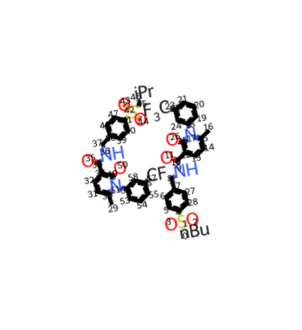 CCCCS(=O)(=O)c1ccc(CNC(=O)c2ccc(C)n(-c3cccc(C(F)(F)F)c3)c2=O)cc1.Cc1ccc(C(=O)NCc2ccc(S(=O)(=O)CC(C)C)cc2)c(=O)n1-c1cccc(C(F)(F)F)c1